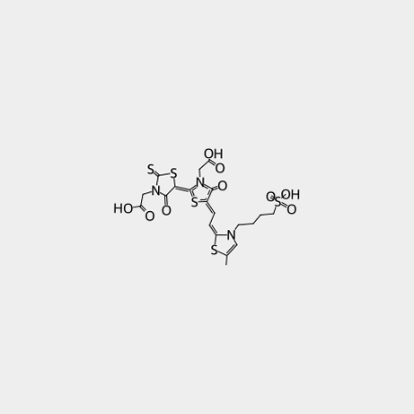 CC1=CN(CCCCS(=O)(=O)O)C(=CC=c2s/c(=C3/SC(=S)N(CC(=O)O)C3=O)n(CC(=O)O)c2=O)S1